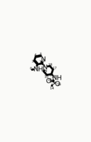 CNc1cccnc1N1CCC(NS(C)(=O)=O)CC1